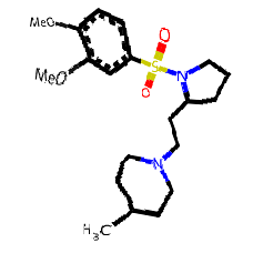 COc1ccc(S(=O)(=O)N2CCCC2CCN2CCC(C)CC2)cc1OC